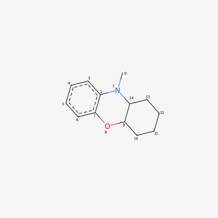 CN1c2ccccc2OC2CCCCC21